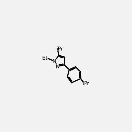 CCn1nc(-c2ccc(C(C)C)cc2)cc1C(C)C